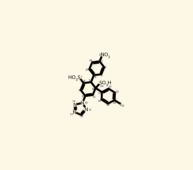 O=[N+]([O-])c1ccc(C2C(S(=O)(=O)O)=CC(n3ncnn3)=CC2(c2ccc(I)cc2)S(=O)(=O)O)cc1